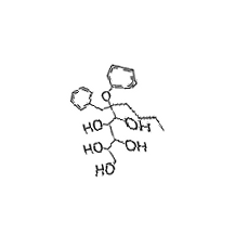 CCCCC(Cc1ccccc1)(Oc1ccccc1)C(O)C(O)C(O)C(O)CO